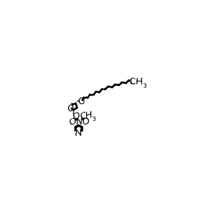 CCCCCCCCCCCCCCCCOC[C@H]1CO[C@H](COC(=O)N(C(C)=O)c2ccncc2)C1